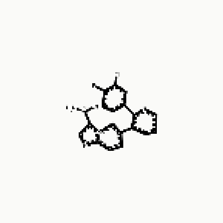 N[C@@H](O)c1cnc2ccc(-c3cccnc3-c3ccc(F)c(Cl)c3)cn12